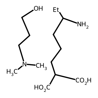 CCC(N)CCCC(C(=O)O)C(=O)O.CN(C)CCCO